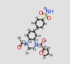 CNS(=O)(=O)c1ccc(-c2ccc3c(c2)N(C(=O)c2ccco2)C[C@H](C)N3C(C)=O)cc1